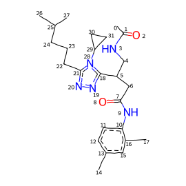 CC(=O)NCC(CC(=O)Nc1ccc(C)cc1C)c1nnc(CCCC(C)C)n1C1CC1